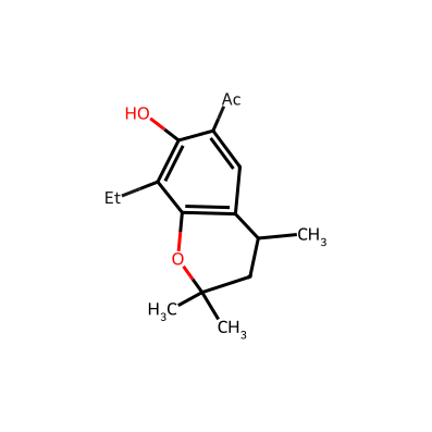 CCc1c(O)c(C(C)=O)cc2c1OC(C)(C)CC2C